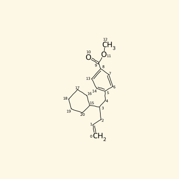 C=CCC(Cc1ccc(C(=O)OC)cc1)C1CCCCC1